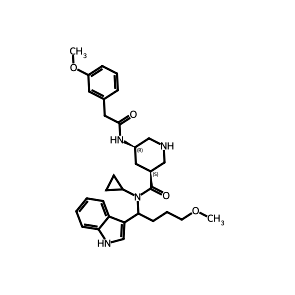 COCCCC(c1c[nH]c2ccccc12)N(C(=O)[C@@H]1CNC[C@H](NC(=O)Cc2cccc(OC)c2)C1)C1CC1